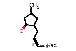 CCCCCC/C=C\CC1CC(C)CC1=O